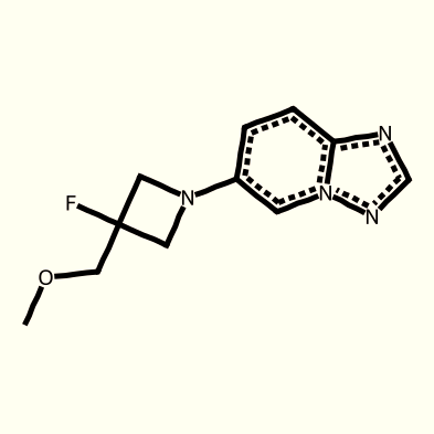 COCC1(F)CN(c2ccc3ncnn3c2)C1